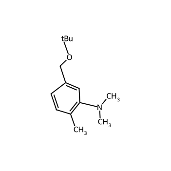 Cc1ccc(COC(C)(C)C)cc1N(C)C